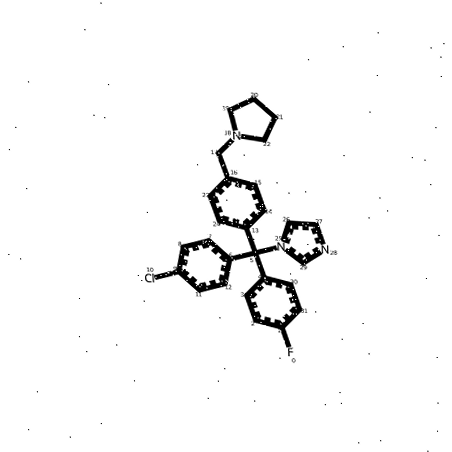 Fc1ccc(C(c2ccc(Cl)cc2)(c2ccc(CN3CCCC3)cc2)n2ccnc2)cc1